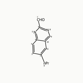 CCCc1ccc2nc(C=O)ncc2c1